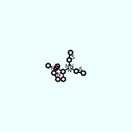 c1ccc(-c2cc(-c3nc(-c4ccc5c(c4)sc4ccccc45)nc(-c4ccc5c(c4)sc4ccccc45)n3)cc(-c3ccccc3)c2-n2c3ccccc3c3ccc4c(c5ccccc5n4-c4ccccc4)c32)cc1